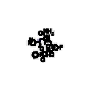 C=C/C(=C\c1c(C(N)=O)nn(CC(=O)N2CC(F)CC2C(=O)NC2CC(=O)N(c3ccccc3)C2=O)c1C)c1ccnnc1